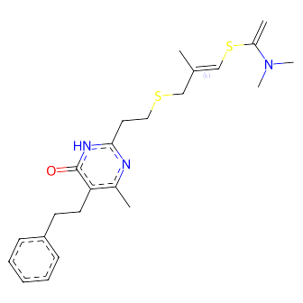 C=C(S/C=C(\C)CSCCc1nc(C)c(CCc2ccccc2)c(=O)[nH]1)N(C)C